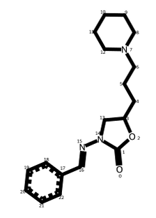 O=C1OC(CCCN2CCCCC2)CN1/N=C/c1ccccc1